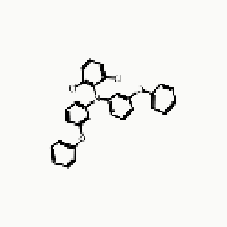 Clc1cccc(Cl)c1N(c1cccc(Oc2ccccc2)c1)c1cccc(Oc2ccccc2)c1